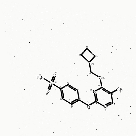 N#Cc1cnc(Nc2ccc(S(N)(=O)=O)cc2)nc1OCC1CCC1